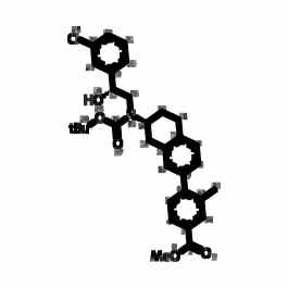 COC(=O)c1ccc(-c2ccc3c(c2)C[C@@H](N(C[C@H](O)c2cccc(Cl)c2)C(=O)OC(C)(C)C)CC3)c(C)c1